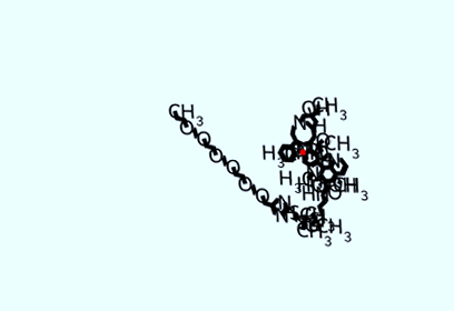 CCCOCCOCCOCCOCCOCCOCc1cnc(SC[Si](C)(C)O[Si](C)(C)CCCNC(=O)[C@@]2(O)[C@H](O)[C@]3(CC)C=CCN4CC[C@@]5(c6cc([C@@]7(C(=O)OC)C[C@@H]8CN(CCc9c7[nH]c7ccccc97)C[C@](O)(CC)C8)c(OC)cc6N(C)[C@@H]25)[C@@H]43)nc1